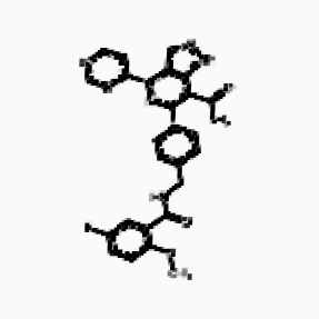 COc1ccc(F)cc1C(=O)NCc1ccc(-c2nc(-c3ccncn3)c3cn[nH]c3c2C(N)=O)cc1